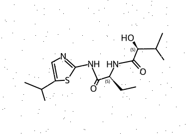 CC[C@H](NC(=O)[C@@H](O)C(C)C)C(=O)Nc1ncc(C(C)C)s1